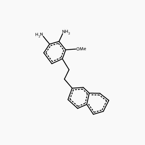 COc1c(CCc2ccc3ccccc3c2)ccc(N)c1N